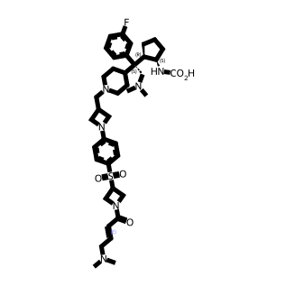 CN(C)C/C=C/C(=O)N1CC(S(=O)(=O)c2ccc(N3CC(CN4CCC([C@@](CN(C)C)(c5cccc(F)c5)[C@H]5CCC[C@@H]5NC(=O)O)CC4)C3)cc2)C1